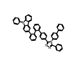 c1ccc(-c2ccc(-n3c(-c4ccccc4)nnc3-c3ccc(-c4ccccc4-c4ccccc4-c4ccc5c(c4)c4ccccc4n5-c4ccccc4)cc3)cc2)cc1